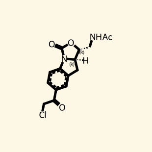 CC(=O)NC[C@H]1OC(=O)N2c3ccc(C(=O)CCl)cc3C[C@H]12